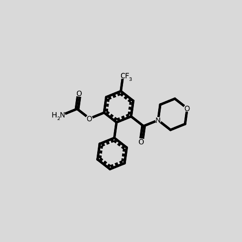 NC(=O)Oc1cc(C(F)(F)F)cc(C(=O)N2CCOCC2)c1-c1ccccc1